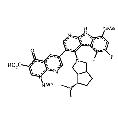 CNc1cc(F)c(F)c2c1[nH]c1ncc(-c3cnc4c(c3)c(=O)c(C(=O)O)cn4NC)c(N3CC4CC[C@@H](N(C)C)C4C3)c12